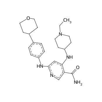 CCN1CCC(Nc2cc(Nc3ccc(C4CCOCC4)cc3)ncc2C(N)=O)CC1